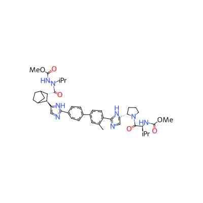 COC(=O)N[C@H](C(=O)N1CCC[C@H]1c1cnc(-c2ccc(-c3ccc(-c4ncc([C@H]5C6CCC(C6)[C@@H]5C(=O)N(NC(=O)OC)C(C)C)[nH]4)cc3)cc2C)[nH]1)C(C)C